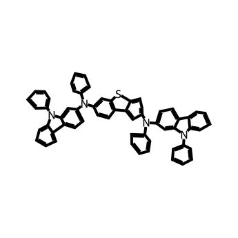 c1ccc(N(c2ccc3c(c2)sc2ccc(N(c4ccccc4)c4ccc5c6ccccc6n(-c6ccccc6)c5c4)cc23)c2ccc3c4ccccc4n(-c4ccccc4)c3c2)cc1